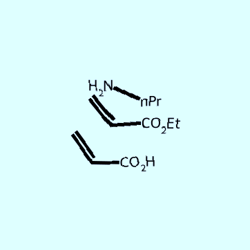 C=CC(=O)O.C=CC(=O)OCC.CCCN